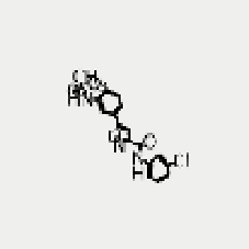 CS(=O)(=O)Nc1cccc(-c2cc(C(=O)Nc3cccc(Cl)c3)no2)c1